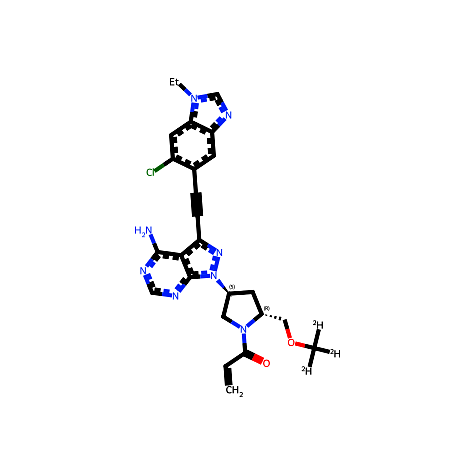 [2H]C([2H])([2H])OC[C@H]1C[C@H](n2nc(C#Cc3cc4ncn(CC)c4cc3Cl)c3c(N)ncnc32)CN1C(=O)C=C